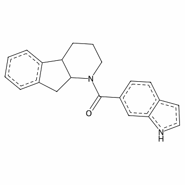 O=C(c1ccc2cc[nH]c2c1)N1CCCC2c3ccccc3CC21